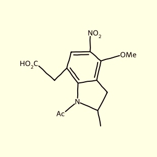 COc1c([N+](=O)[O-])cc(CC(=O)O)c2c1CC(C)N2C(C)=O